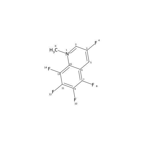 C[n+]1cc(F)cc2c(F)c(F)c(F)c(F)c21